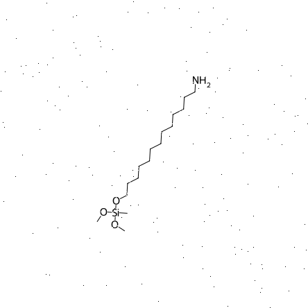 CO[Si](C)(OC)OCCCCCCCCCCCCCN